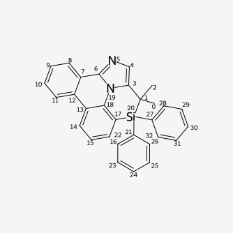 CC1(C)c2cnc3c4ccccc4c4cccc(c4n23)[Si]1(c1ccccc1)c1ccccc1